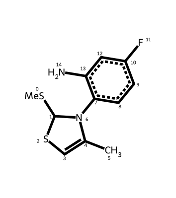 CSC1SC=C(C)N1c1ccc(F)cc1N